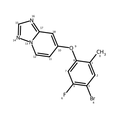 Cc1cc(Br)c(F)cc1Oc1ccn2ncnc2c1